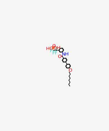 CCCCCCCCOc1ccc(-c2ccc(C(=O)Nc3cccc(C(F)(F)C(F)(F)P(=O)(O)O)c3)cc2)cc1